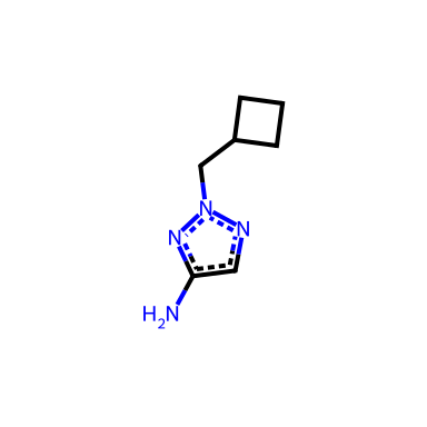 Nc1cnn(CC2CCC2)n1